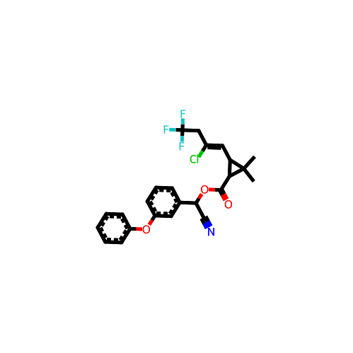 CC1(C)C(C=C(Cl)CC(F)(F)F)C1C(=O)OC(C#N)c1cccc(Oc2ccccc2)c1